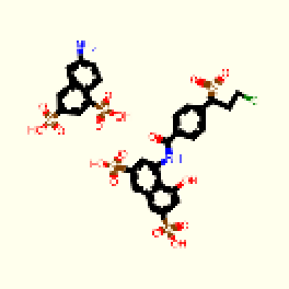 Nc1ccc2c(S(=O)(=O)O)cc(S(=O)(=O)O)cc2c1.O=C(Nc1cc(S(=O)(=O)O)cc2cc(S(=O)(=O)O)cc(O)c12)c1ccc(C(CCCl)=S(=O)=O)cc1